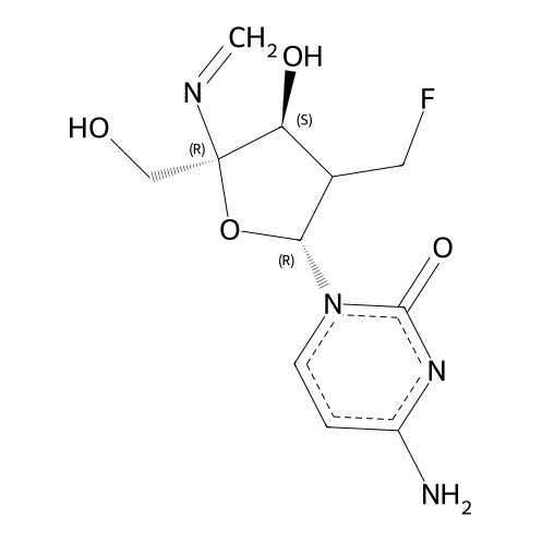 C=N[C@]1(CO)O[C@@H](n2ccc(N)nc2=O)C(CF)[C@@H]1O